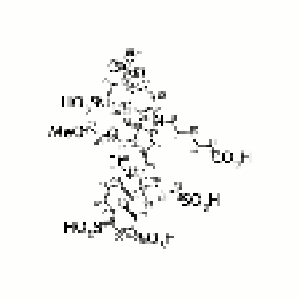 CC[N+]1=C(/C=C/C=C2/N(CCCCCC(=O)O)c3ccc4c(S(=O)(=O)[O-])cc(S(=O)(=O)O)cc4c3C2(C)CCOCCOC)C(C)(CCCS(=O)(=O)O)c2c1ccc1c(S(=O)(=O)O)cc(S(=O)(=O)O)cc21